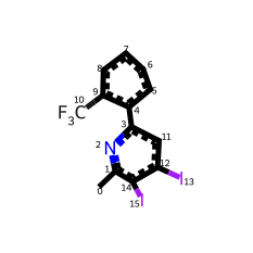 Cc1nc(-c2ccccc2C(F)(F)F)cc(I)c1I